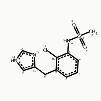 CS(=O)(=O)Nc1cccc(Cc2c[nH]cn2)c1Cl